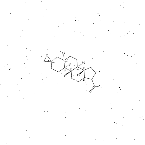 C=C(C)C1CC[C@H]2[C@@H]3CC[C@@H]4C[C@]5(CC[C@]4(C)[C@H]3CC[C@]12C)CO5